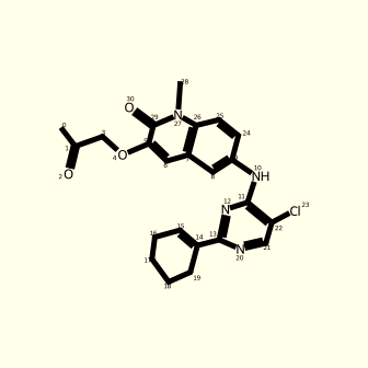 CC(=O)COc1cc2cc(Nc3nc(C4=CCCCC4)ncc3Cl)ccc2n(C)c1=O